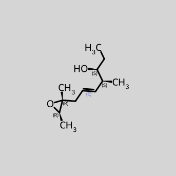 CC[C@H](O)[C@@H](C)/C=C/C[C@@]1(C)O[C@@H]1C